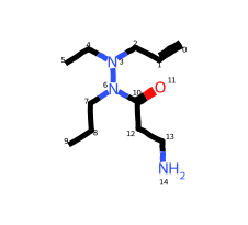 C=CCN(CC)N(CCC)C(=O)CCN